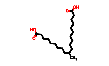 CC(CCCCCCCCCC(=O)O)CCCCCCCCC(=O)O